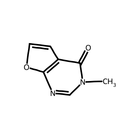 Cn1cnc2occc2c1=O